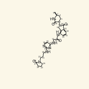 C=C1CCC(N2Cc3c(NC(=O)CNc4ccnc(NCCCN5CCCC5=O)n4)cccc3C2=O)C(=O)N1